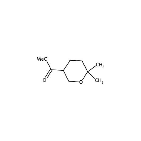 COC(=O)C1CCC(C)(C)OC1